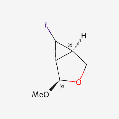 CO[C@@H]1OC[C@@H]2C(I)C12